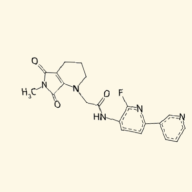 CN1C(=O)C2=C(C1=O)N(CC(=O)Nc1ccc(-c3cccnc3)nc1F)CCC2